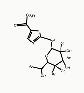 CCOC(=O)C(=O)c1cnc(N[C@@H]2O[C@H](C(O)C(C)=O)[C@](O)(C(C)=O)[C@@](O)(C(C)=O)[C@@]2(O)C(C)=O)s1